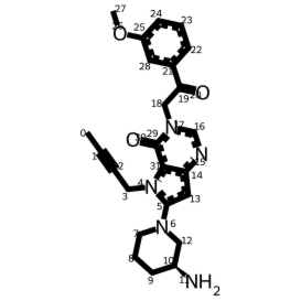 CC#CCn1c(N2CCC[C@H](N)C2)cc2ncn(CC(=O)c3cccc(OC)c3)c(=O)c21